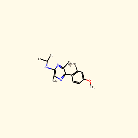 CCC(CC)Nc1nc(C)c(-c2ccc(OC(F)(F)F)cc2OC)nc1SC